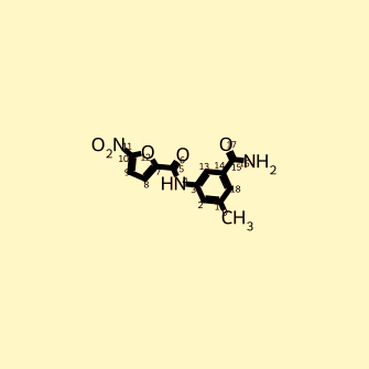 Cc1cc(NC(=O)c2ccc([N+](=O)[O-])o2)cc(C(N)=O)c1